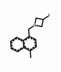 Cc1ccc(CN2CC(F)C2)c2ccccc12